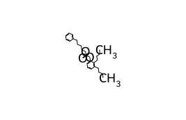 CCCCc1cccc(OC(=O)OCCCCc2ccccc2)c1CCCC